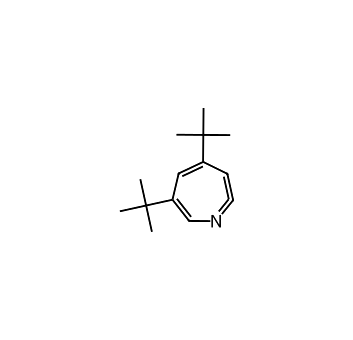 CC(C)(C)C1=CN=C=CC(C(C)(C)C)=C1